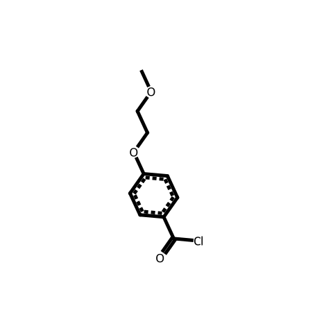 COCCOc1ccc(C(=O)Cl)cc1